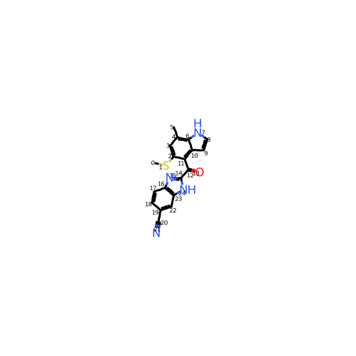 CSc1cc(C)c2[nH]ccc2c1C(=O)c1nc2ccc(C#N)cc2[nH]1